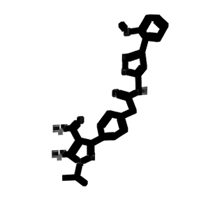 COc1ccccc1-c1cc(NC(=O)Cc2ccc(-c3nn(C(C)C)c(N)c3C(N)=O)cc2)on1